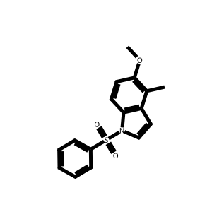 COc1ccc2c(ccn2S(=O)(=O)c2ccccc2)c1C